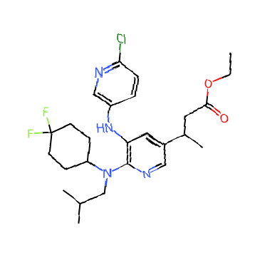 CCOC(=O)CC(C)c1cnc(N(CC(C)C)C2CCC(F)(F)CC2)c(Nc2ccc(Cl)nc2)c1